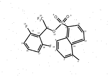 Cc1cccc2c(S(=O)(=O)OC(c3c(F)cccc3F)C(F)(F)F)cccc12